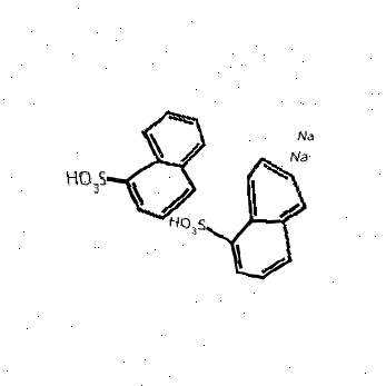 O=S(=O)(O)c1cccc2ccccc12.O=S(=O)(O)c1cccc2ccccc12.[Na].[Na]